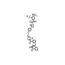 O=C(Nc1ccc([N+](=O)[O-])c(C(F)(F)F)c1)C1CSC(c2ccc(CCCN3CCN(C(=O)c4cc(Cc5n[nH]c(=O)c6ccccc56)ccc4F)CC3)cc2)=N1